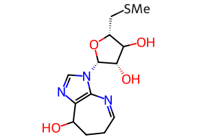 CSC[C@H]1O[C@@H](n2cnc3c2N=CCCC3O)[C@@H](O)C1O